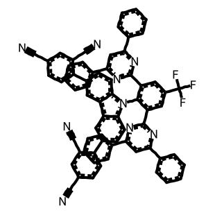 N#Cc1ccc(-c2ccc3c(c2)c2cc(-c4ccc(C#N)cc4C#N)ccc2n3-c2c(-c3nc(-c4ccccc4)cc(-c4ccccc4)n3)cc(C(F)(F)F)cc2-c2nc(-c3ccccc3)cc(-c3ccccc3)n2)c(C#N)c1